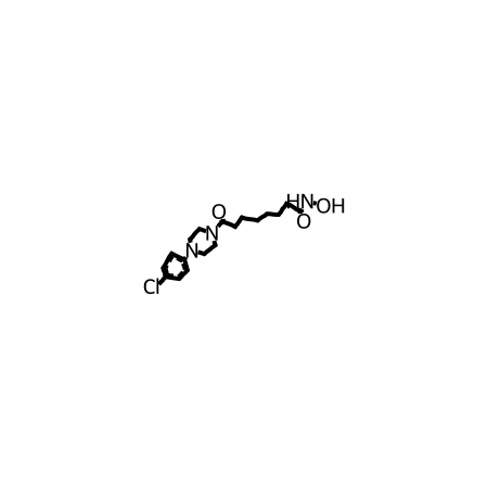 O=C(CCCCCCC(=O)N1CCN(c2ccc(Cl)cc2)CC1)NO